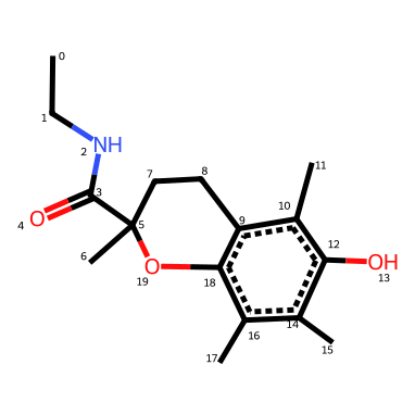 CCNC(=O)C1(C)CCc2c(C)c(O)c(C)c(C)c2O1